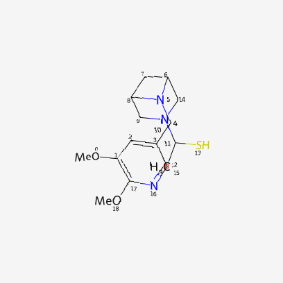 COc1cc(CN2C3CC2CN(C(C)S)C3)cnc1OC